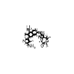 Cc1c(N)cncc1-c1cc2cc(Nc3cc4n(n3)CC(=O)N(C)OC4(C)C)ncc2c(N)c1F